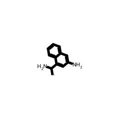 [CH2]C(N)c1cc(N)cc2ccccc12